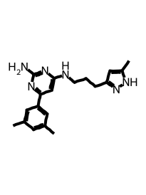 Cc1cc(C)cc(-c2cc(NCCCc3cc(C)[nH]n3)nc(N)n2)c1